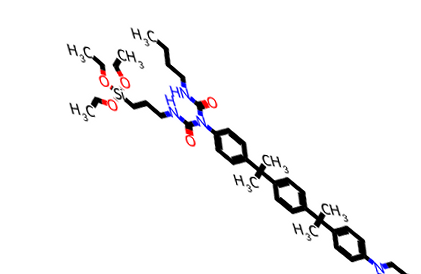 CCCCNC(=O)N(C(=O)NCCC[Si](OCC)(OCC)OCC)c1ccc(C(C)(C)c2ccc(C(C)(C)c3ccc(N(CC4CO4)CC4CO4)cc3)cc2)cc1